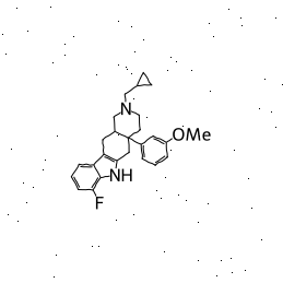 COc1cccc(C23CCN(CC4CC4)CC2Cc2c([nH]c4c(F)cccc24)C3)c1